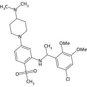 COc1cc(Cl)cc(C(C)Nc2cc(N3CCC(N(C)C)CC3)ccc2S(C)(=O)=O)c1OC